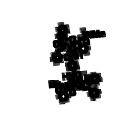 CC[C@@H](C)C(=O)N[C@H](C(=O)N1C[C@@H](NC(=O)c2ccc(C(=O)N[C@H]3C[C@@H](CN(CCc4ccccc4)C(=O)c4cc5ccccc5n4C)N(C(=O)[C@@H](CC(=O)[C@H](C)NC)C4CCCCC4)C3)cc2)C[C@H]1CN(CCc1ccccc1)C(=O)c1cc2ccccc2n1C)C1CCCCC1